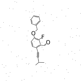 CC(C)C#Cc1ccc(OCc2ccccc2)c(F)c1C=O